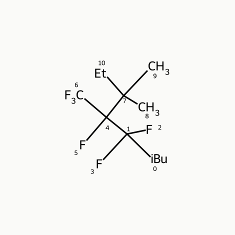 CCC(C)C(F)(F)C(F)(C(F)(F)F)C(C)(C)CC